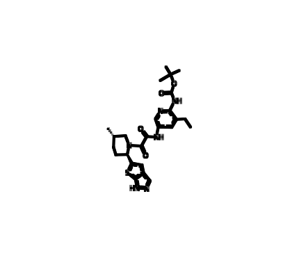 CCc1cc(NC(=O)C(=O)N2C[C@@H](C)CC[C@@H]2c2cc3cn[nH]c3s2)cnc1NC(=O)OC(C)(C)C